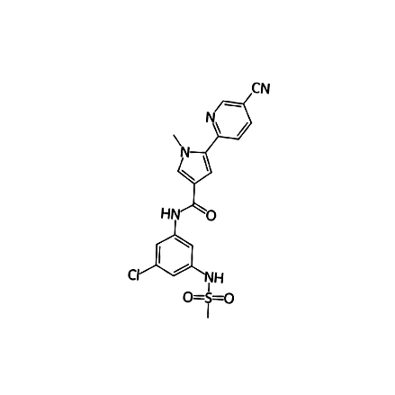 Cn1cc(C(=O)Nc2cc(Cl)cc(NS(C)(=O)=O)c2)cc1-c1ccc(C#N)cn1